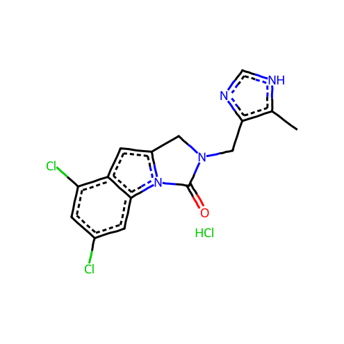 Cc1[nH]cnc1CN1Cc2cc3c(Cl)cc(Cl)cc3n2C1=O.Cl